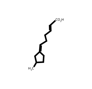 CC1CCC(=CCCC=CC(=O)O)C1